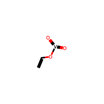 C=C[O][V](=[O])=[O]